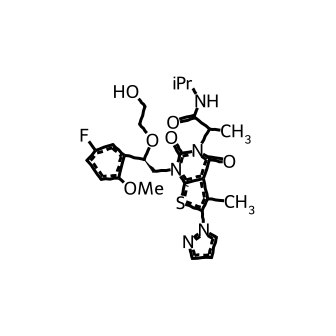 COc1ccc(F)cc1[C@H](Cn1c(=O)n(C(C)C(=O)NC(C)C)c(=O)c2c(C)c(-n3cccn3)sc21)OCCO